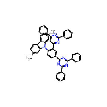 FC(F)(F)c1ccc2c3ccc(C(F)(F)F)cc3n(-c3ccc(-c4nc(-c5ccccc5)nc(-c5ccccc5)n4)cc3-c3cc(-c4ccccc4)nc(-c4ccccc4)n3)c2c1